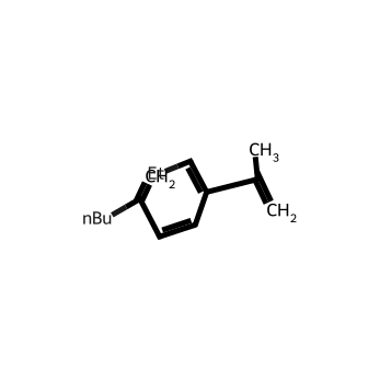 C=C(/C=C\C(=C/CC)C(=C)C)CCCC